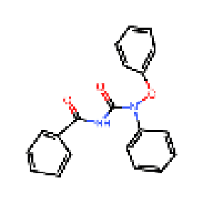 O=C(NC(=O)N(Oc1ccccc1)c1ccccc1)c1ccccc1